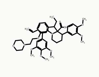 C=CCC(C(=O)N1CCCC(c2ccc(OC)c(OC)c2)C1(C(=O)O)C(CC)c1cccc(OCCN2CCOCC2)c1)c1cc(OC)c(OC)c(OC)c1